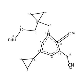 CCCCOCC1(Cn2cc(C3CC3)cc(SC#N)c2=O)CC1